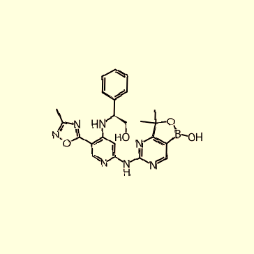 Cc1noc(-c2cnc(Nc3ncc4c(n3)C(C)(C)OB4O)cc2N[C@H](CO)c2ccccc2)n1